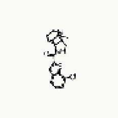 CC1(C)C(NC(=O)c2cc3cccc(Cl)c3s2)C2CCN1CC2